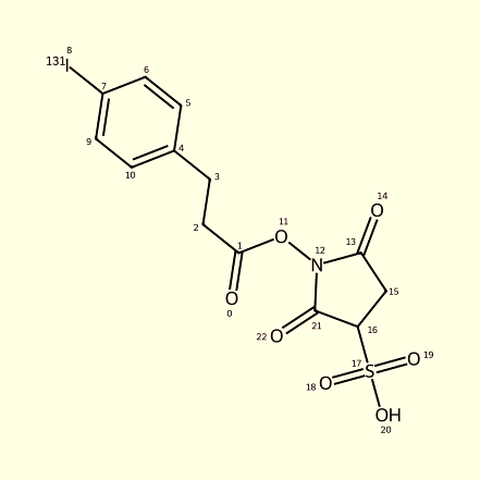 O=C(CCc1ccc([131I])cc1)ON1C(=O)CC(S(=O)(=O)O)C1=O